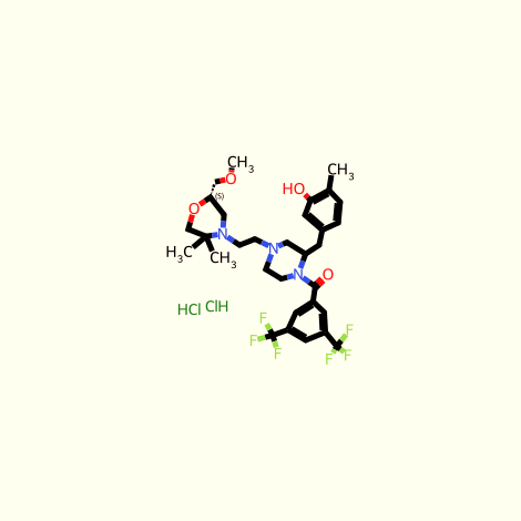 COC[C@@H]1CN(CCN2CCN(C(=O)c3cc(C(F)(F)F)cc(C(F)(F)F)c3)C(Cc3ccc(C)c(O)c3)C2)C(C)(C)CO1.Cl.Cl